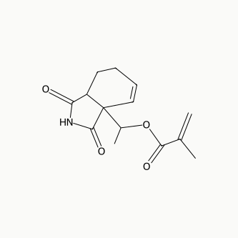 C=C(C)C(=O)OC(C)C12C=CCCC1C(=O)NC2=O